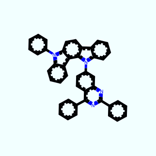 c1ccc(-c2nc(-c3ccccc3)c3ccc(-n4c5ccccc5c5ccc6c(c7ccccc7n6-c6ccccc6)c54)cc3n2)cc1